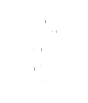 CC1(C)C(O)CC[C@]2(C)[C@H]3C=CC4=C5C[C@@](C)(CO)CC[C@]5(C)CC[C@@]4(C)[C@]3(C)CC[C@@H]12